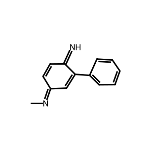 CN=C1C=CC(=N)C(c2ccccc2)=C1